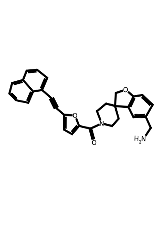 NCc1ccc2c(c1)C1(CCN(C(=O)c3ccc(C#Cc4cccc5ccccc45)o3)CC1)CO2